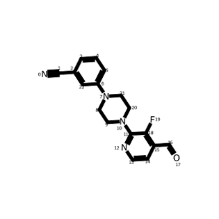 N#Cc1cccc(N2CCN(c3nccc(C=O)c3F)CC2)c1